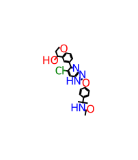 CC(=O)NC(C)(C)c1ccc(Oc2nc3nc(-c4ccc5c(c4)C(O)CCO5)c(Cl)cc3[nH]2)cc1